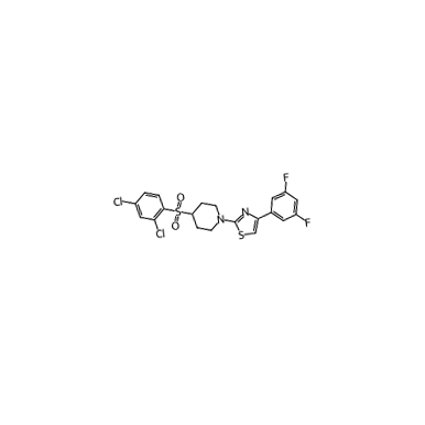 O=S(=O)(c1ccc(Cl)cc1Cl)C1CCN(c2nc(-c3cc(F)cc(F)c3)cs2)CC1